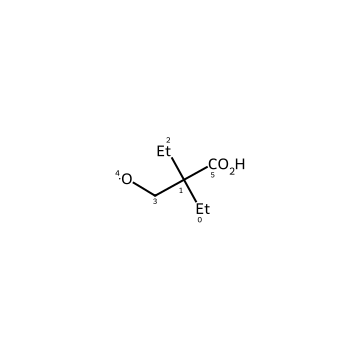 CCC(CC)(C[O])C(=O)O